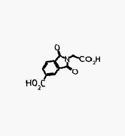 O=C(O)CN1C(=O)c2ccc(C(=O)O)cc2C1=O